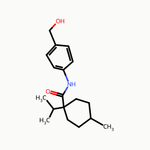 CC1CCC(C(=O)Nc2ccc(CO)cc2)(C(C)C)CC1